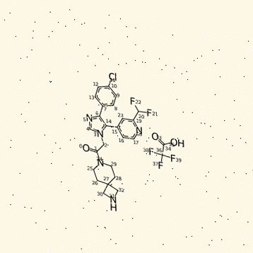 O=C(Cn1cnc(-c2ccc(Cl)cc2)c1-c1ccnc(C(F)F)c1)N1CCC2(CC1)CNC2.O=C(O)C(F)(F)F